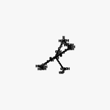 CC(C)(C)OC[C@@H]1C[C@@H](O)CN1C(=O)CCCCCCCCCCC(=O)CC(COCCC(=O)NCCOCCOCCO[C@H]1OC(CO)[C@@H](O)[C@H](O)C1O)(COCCC(=O)NCCOCCOCCO[C@H]1OC(CO)[C@@H](O)[C@H](O)C1O)COCCC(=O)NCCOCCOCCO[C@H]1OC(CO)[C@@H](O)[C@H](O)C1O